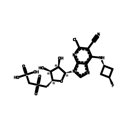 N#Cc1c(Cl)nc2c(ncn2[C@@H]2O[C@H](CS(=O)(=O)CP(=O)(O)O)[C@@H](O)[C@H]2O)c1N[C@H]1C[C@H](F)C1